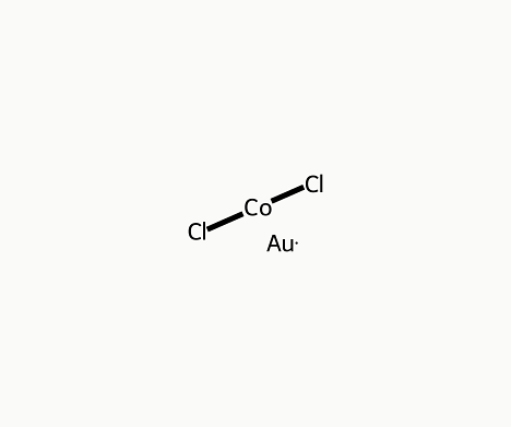 [Au].[Cl][Co][Cl]